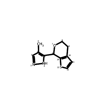 Cc1cn[nH]c1C1OCCc2ccsc21